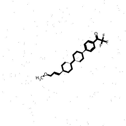 COCC=C[C@H]1CC[C@H]([C@H]2CC[C@H](c3ccc(C(=O)C(F)(F)F)cc3)CC2)CC1